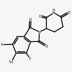 [2H]c1c(F)cc2c(c1F)C(=O)N(C1CCC(=O)NC1=O)C2=O